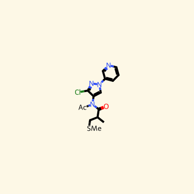 CSCC(C)C(=O)N(C(C)=O)c1cn(-c2cccnc2)nc1Cl